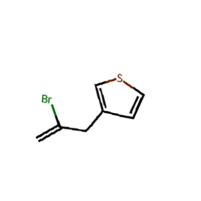 C=C(Br)Cc1ccsc1